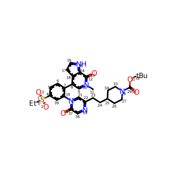 CCS(=O)(=O)c1ccc(-c2cn(C)c(=O)c3[nH]ccc23)c(-n2cc(CCC3CCN(C(=O)OC(C)(C)C)CC3)ncc2=O)c1